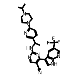 CC(Nc1ncc(C#N)c(-c2c[nH]c3ncc(C(F)(F)F)cc23)n1)c1ccc(N2CCN(C(C)C)CC2)nc1